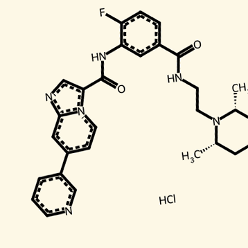 C[C@@H]1CCC[C@H](C)N1CCNC(=O)c1ccc(F)c(NC(=O)c2cnc3cc(-c4cccnc4)ccn23)c1.Cl